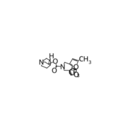 Cc1cc(CN(Cc2ccoc2)C(=O)O[C@H]2CN3CCC2CC3)c(C(F)(F)F)o1